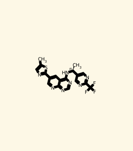 Cc1cnc(-c2cnc3ncnc(N[C@H](C)c4cnc(C(F)(F)F)nc4)c3c2)s1